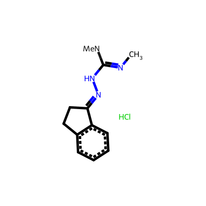 CN=C(NC)NN=C1CCc2ccccc21.Cl